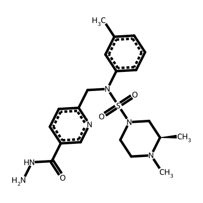 Cc1cccc(N(Cc2ccc(C(=O)NN)cn2)S(=O)(=O)N2CCN(C)[C@H](C)C2)c1